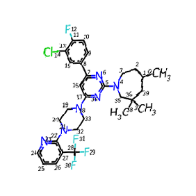 CC1CCN(c2nc(-c3ccc(F)c(Cl)c3)cc(N3CCN(c4ncccc4C(F)(F)F)CC3)n2)CC(C)(C)C1